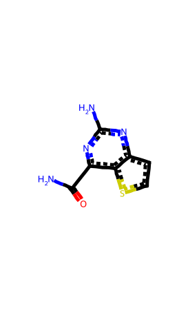 NC(=O)c1nc(N)nc2ccsc12